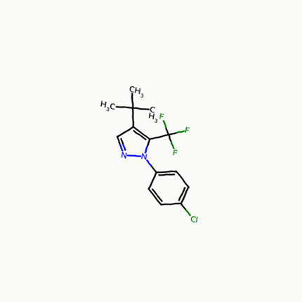 CC(C)(C)c1cnn(-c2ccc(Cl)cc2)c1C(F)(F)F